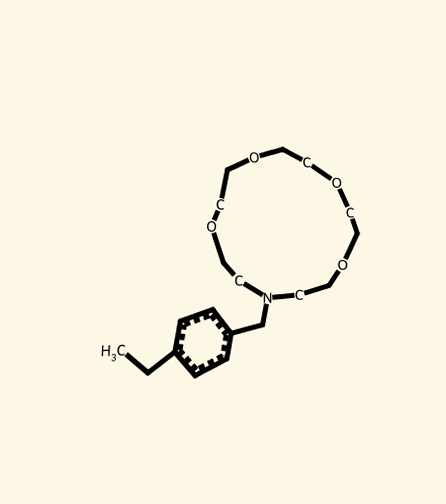 CCc1ccc(CN2CCOCCOCCOCCOCC2)cc1